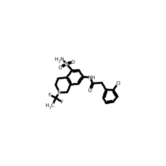 CC(F)(F)N1CCc2c(cc(NC(=O)Cc3ccccc3Cl)cc2S(N)(=O)=O)C1